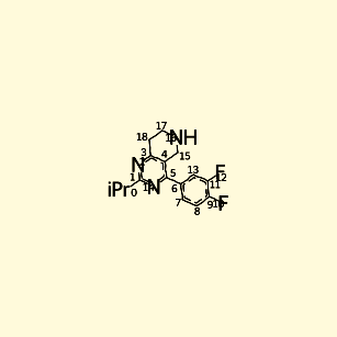 CC(C)c1nc2c(c(-c3ccc(F)c(F)c3)n1)CNCC2